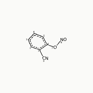 N#Cc1ccccc1ON=O